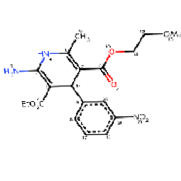 CCOC(=O)C1=C(N)NC(C)=C(C(=O)OCCOC)C1c1cccc([N+](=O)[O-])c1